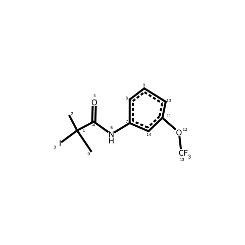 CC(C)(I)C(=O)Nc1cccc(OC(F)(F)F)c1